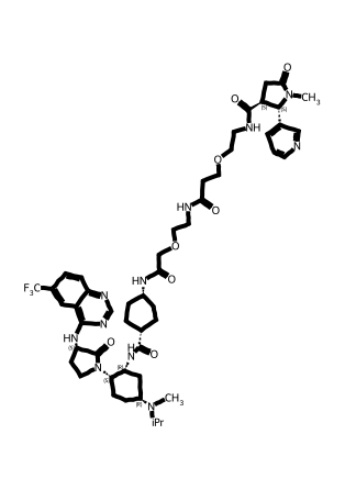 CC(C)N(C)[C@@H]1CC[C@H](N2CC[C@H](Nc3ncnc4ccc(C(F)(F)F)cc34)C2=O)[C@H](NC(=O)[C@H]2CC[C@@H](NC(=O)COCCNC(=O)CCOCCNC(=O)[C@H]3CC(=O)N(C)[C@@H]3c3cccnc3)CC2)C1